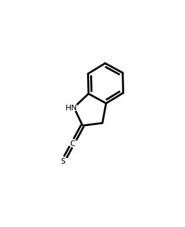 S=C=C1Cc2ccccc2N1